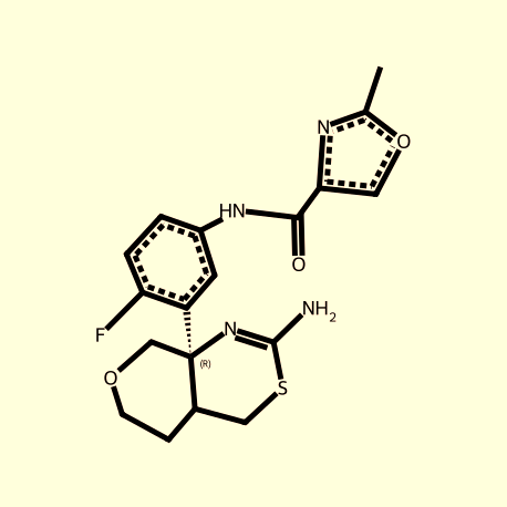 Cc1nc(C(=O)Nc2ccc(F)c([C@@]34COCCC3CSC(N)=N4)c2)co1